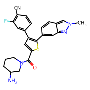 Cn1cc2ccc(-c3sc(C(=O)N4CCCC(N)C4)cc3-c3ccc(C#N)c(F)c3)cc2n1